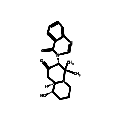 CC1(C)[C@@H](n2cnc3ccccc3c2=O)C(=O)C[C@@H]2[C@@H](O)CCCN21